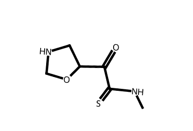 CNC(=S)C(=O)C1CNCO1